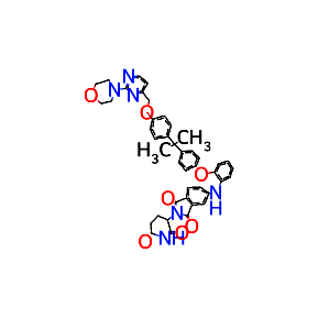 CC(C)(c1ccc(OCc2ccnc(N3CCOCC3)n2)cc1)c1ccc(Oc2ccccc2Nc2ccc3c(c2)C(=O)N(C2CCC(=O)NC2=O)C3=O)cc1